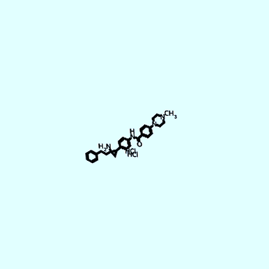 CN1CCN(c2ccc(C(=O)Nc3ccc(C4CC4(N)CCc4ccccc4)cc3)cc2)CC1.Cl.Cl